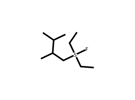 CCS(F)(CC)CC(C)C(C)C